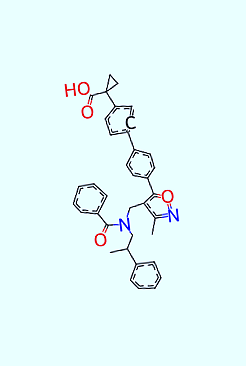 Cc1noc(-c2ccc(-c3ccc(C4(C(=O)O)CC4)cc3)cc2)c1CN(CC(C)c1ccccc1)C(=O)c1ccccc1